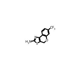 Nc1nc2c(s1)COc1cc(C(F)(F)F)ccc1-2